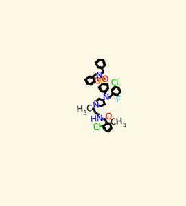 Cc1cccc(Cl)c1C(=O)NCCC(C)N1CCC(N(Cc2cc(Cl)ccc2F)c2ccc(S(=O)(=O)N(Cc3ccccc3)Cc3ccccc3)cc2)CC1